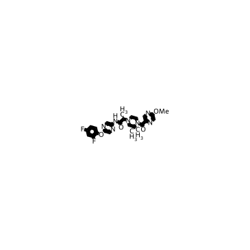 COc1cnc(C(=O)N2CCN([C@@H](C)C(=O)Nc3cnc(Oc4ccc(F)cc4F)cn3)CC2(C)C)cn1